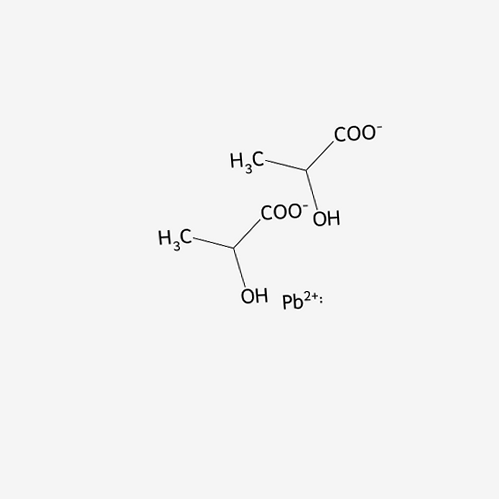 CC(O)C(=O)[O-].CC(O)C(=O)[O-].[Pb+2]